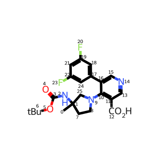 CC1(NC(=O)OC(C)(C)C)CCN(c2c(C(=O)O)cncc2-c2cc(F)cc(F)c2)C1